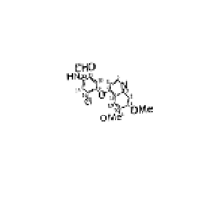 COc1cc2nccc(Oc3ccc(NC=O)cc3Cl)c2cc1OC